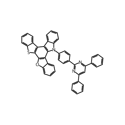 c1ccc(-c2cc(-c3ccccc3)nc(-c3ccc(-n4c5ccccc5c5c6c7ccccc7sc6c6oc7ccccc7c6c54)cc3)n2)cc1